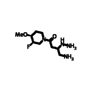 CO[C@H]1CCN(C(=O)CC(CN)NN)C[C@H]1F